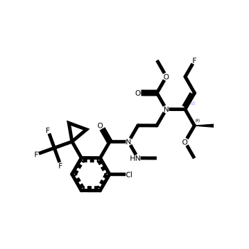 CNN(CCN(C(=O)OC)/C(=C\CF)[C@@H](C)OC)C(=O)c1c(Cl)cccc1C1(C(F)(F)F)CC1